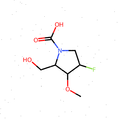 COC1C(F)CN(C(=O)O)C1CO